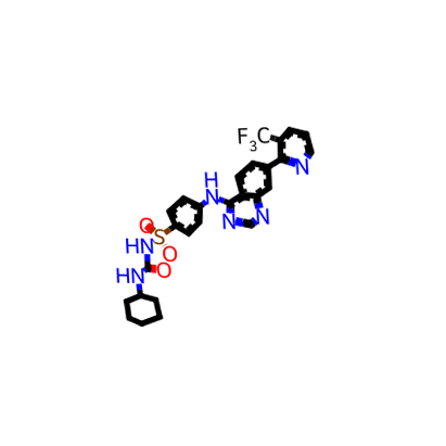 O=C(NC1CCCCC1)NS(=O)(=O)c1ccc(Nc2ncnc3cc(-c4ncccc4C(F)(F)F)ccc23)cc1